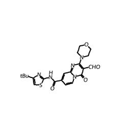 CC(C)(C)c1csc(NC(=O)c2ccn3c(=O)c(C=O)c(N4CCOCC4)nc3c2)n1